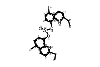 CCc1ccc2c(I)ccc([O][Zr]([Cl])[O]c3ccc(I)c4ccc(CC)nc34)c2n1